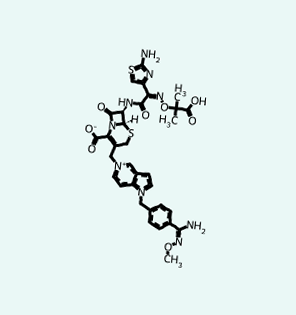 CO/N=C(/N)c1ccc(Cn2ccc3c[n+](CC4=C(C(=O)[O-])N5C(=O)[C@@H](NC(=O)/C(=N\OC(C)(C)C(=O)O)c6csc(N)n6)[C@H]5SC4)ccc32)cc1